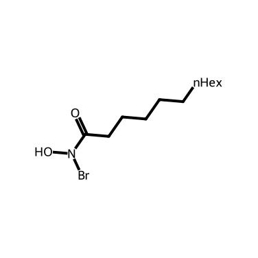 CCCCCCCCCCCC(=O)N(O)Br